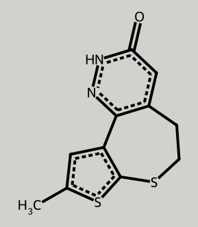 Cc1cc2c(s1)SCCc1cc(=O)[nH]nc1-2